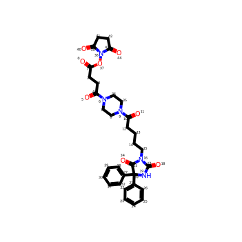 O=C(CCC(=O)N1CCN(C(=O)CCCCN2C(=O)NC(c3ccccc3)(c3ccccc3)C2=O)CC1)ON1C(=O)CCC1=O